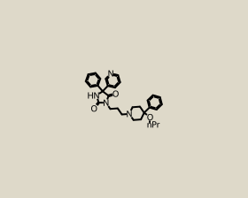 CCCOC1(c2ccccc2)CCN(CCCN2C(=O)NC(c3ccccc3)(c3cccnc3)C2=O)CC1